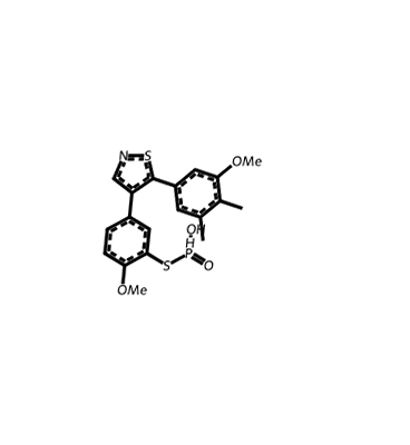 COc1ccc(-c2cnsc2-c2cc(C)c(C)c(OC)c2)cc1S[PH](=O)O